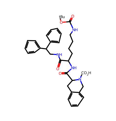 CC(C)(C)OC(=O)NCCCCC(NC(=O)C1Cc2ccccc2CN1C(=O)O)C(=O)NCC(c1ccccc1)c1ccccc1